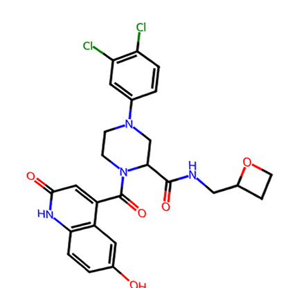 O=C(NCC1CCO1)C1CN(c2ccc(Cl)c(Cl)c2)CCN1C(=O)c1cc(=O)[nH]c2ccc(O)cc12